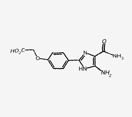 NC(=O)c1nc(-c2ccc(OCC(=O)O)cc2)[nH]c1N